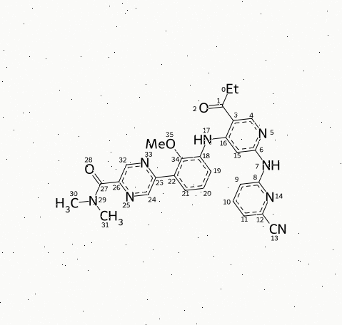 CCC(=O)c1cnc(Nc2cccc(C#N)n2)cc1Nc1cccc(-c2cnc(C(=O)N(C)C)cn2)c1OC